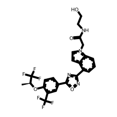 C[C@H](Oc1ccc(-c2nc(-c3cccc4c3ccn4CC(=O)NCCO)no2)cc1C(F)(F)F)C(F)(F)F